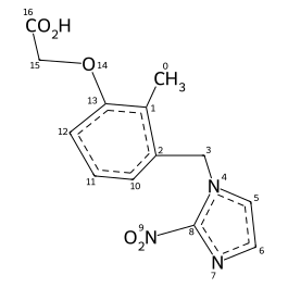 Cc1c(Cn2ccnc2[N+](=O)[O-])cccc1OCC(=O)O